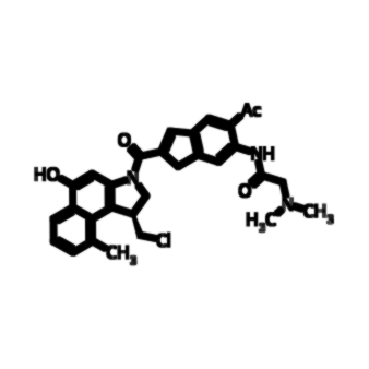 CC(=O)c1cc2c(cc1NC(=O)CN(C)C)CC(C(=O)N1C[C@@H](CCl)c3c1cc(O)c1cccc(C)c31)=C2